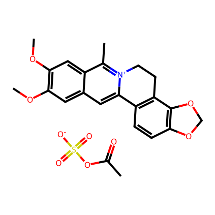 CC(=O)OS(=O)(=O)[O-].COc1cc2cc3[n+](c(C)c2cc1OC)CCc1c-3ccc2c1OCO2